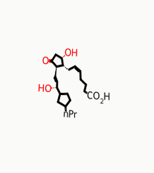 CCCC1CCC([C@H](O)/C=C/[C@H]2C(=O)C[C@H](O)[C@@H]2C/C=C\CCCC(=O)O)C1